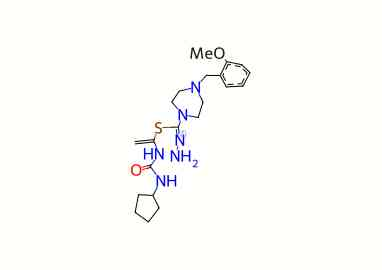 C=C(NC(=O)NC1CCCC1)S/C(=N\N)N1CCN(Cc2ccccc2OC)CC1